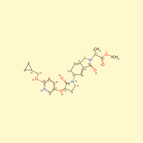 COC(=O)C(C)N1CC2=CCC(N3CC[C@@H](Oc4ccc(OCC5CC5)nc4)C3=O)C=C2C1=O